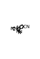 CN1CCN(c2nc3ccc(C#N)cc3c3nnnn23)CC1